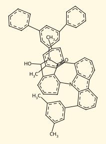 Cc1cc(C)cc(-c2cccc3c4cccc(-c5cc(C)cc(C)c5)c4n(-c4cccc5c4C(=O)N(c4cc(-c6ccccc6)cc(-c6ccccc6)c4)C5O)c23)c1